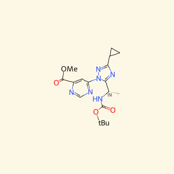 COC(=O)c1cc(-n2nc(C3CC3)nc2[C@H](C)NC(=O)OC(C)(C)C)ncn1